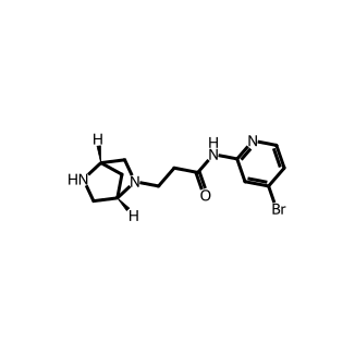 O=C(CCN1C[C@@H]2C[C@H]1CN2)Nc1cc(Br)ccn1